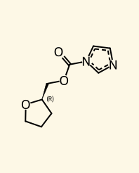 O=C(OC[C@H]1CCCO1)n1ccnc1